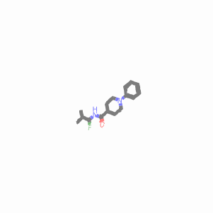 CC(C)C(F)NC(=O)C1CCN(c2ccccc2)CC1